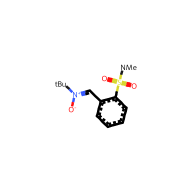 CNS(=O)(=O)c1ccccc1C=[N+]([O-])C(C)(C)C